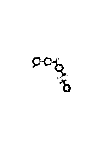 CC1CCCN(C2CCN(C(=O)c3ccc(C(=O)NC(C)(C)c4ccccc4)cc3)CC2)C1